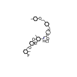 Cc1ccc(OCCc2ccc(CN3CCN(C(=O)/C=C/c4cc(C)c(Oc5ccc(OCc6cccc(F)c6C)cn5)c(Cl)c4)CC3)cc2)cc1.Cl